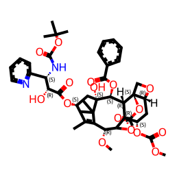 COC(=O)O[C@H]1C[C@H]2OC[C@@]2(OC(C)=O)[C@H]2[C@H](OC(=O)c3ccccc3)[C@]3(O)C[C@H](OC(=O)[C@H](O)[C@@H](NC(=O)OC(C)(C)C)c4ccccn4)C(C)=C([C@@H](OC)C4O[C@@]412)C3(C)C